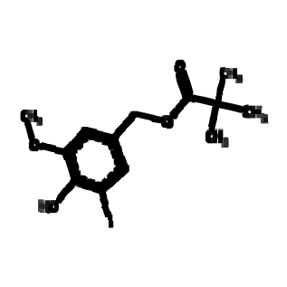 COc1cc(COC(=O)C(C)(C)C)cc(I)c1O